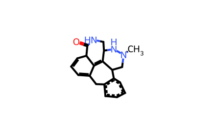 CN1CC2C3=C4C(=CC=CC4C(=O)NCC3N1)Cc1ccccc12